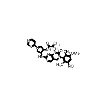 C=CC(=O)NC1CN(c2ccncn2)CC1Nc1ncc2c(n1)N(C)C(=O)N(c1c(C)c(N=O)cc(OC)c1C)C2